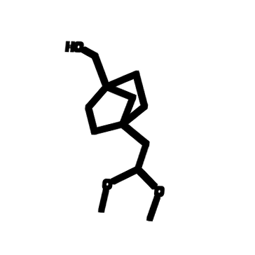 COC(CC12CCC(CO)(CC1)C2)OC